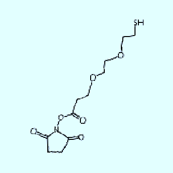 O=C(CCOCCOCCS)ON1C(=O)CCC1=O